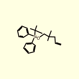 C=CCC(C)(C)CO[Si](c1ccccc1)(c1ccccc1)C(C)(C)C